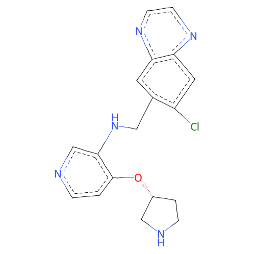 Clc1cc2nccnc2cc1CNc1cnccc1O[C@@H]1CCNC1